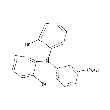 COc1cccc(N(c2ccccc2Br)c2ccccc2Br)c1